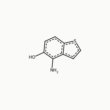 Nc1c(O)ccc2sccc12